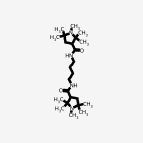 CN1C(C)(C)CC(C(=O)NCCCCNC(=O)C2CC(C)(C)N(C)C2(C)C)C1(C)C